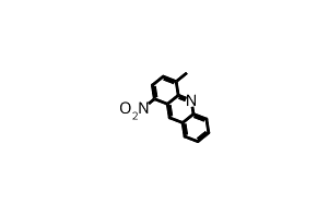 Cc1ccc([N+](=O)[O-])c2cc3ccccc3nc12